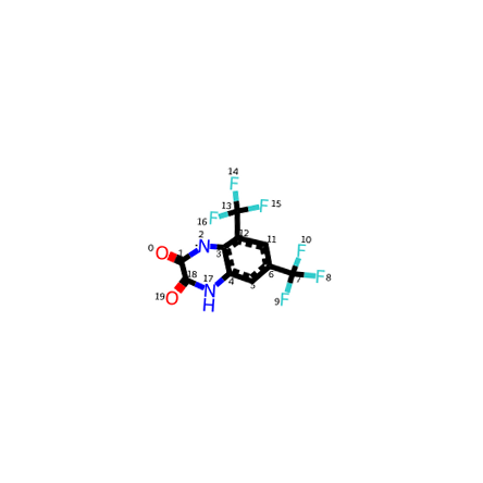 O=C1[N]c2c(cc(C(F)(F)F)cc2C(F)(F)F)NC1=O